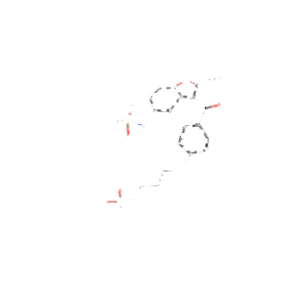 CCCCc1oc2ccc(NS(C)(=O)=O)cc2c1C(=O)c1ccc(OCCCOS(C)(=O)=O)cc1